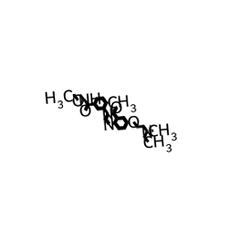 CCONC(=O)c1ccc(C)c(-n2cnc3ccc(OCCN(C)CC)cc3c2=O)c1